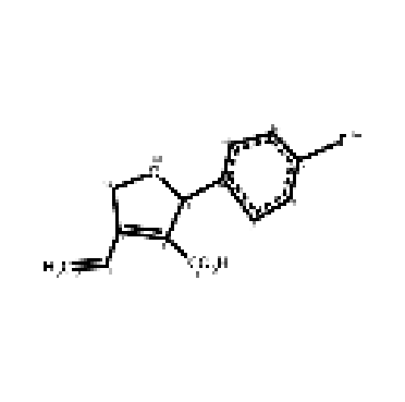 C=CC1=C(C(=O)O)C(c2ccc(F)cc2)OC1